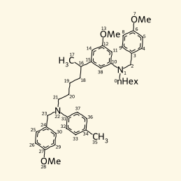 CCCCCCN(Cc1ccc(OC)cc1)c1cc(OC)cc(C(C)CCCCN(Cc2ccc(OC)cc2)c2ccc(C)cc2)c1